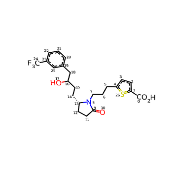 O=C(O)c1ccc(CCCN2C(=O)CC[C@@H]2CCC(O)Cc2cccc(C(F)(F)F)c2)s1